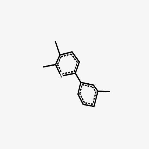 Cc1cccc(-c2ccc(C)c(C)n2)c1